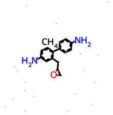 C.Nc1ccc(-c2ccc(N)cc2CC2CO2)cc1